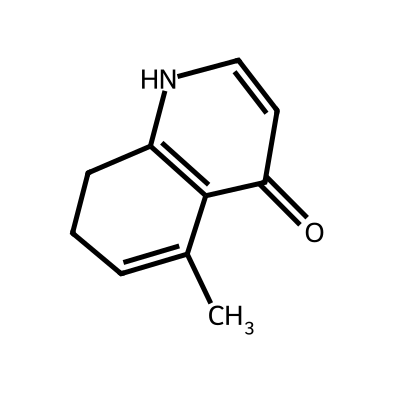 CC1=CCCc2[nH]ccc(=O)c21